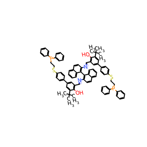 CC(C)(C)c1cc(-c2ccc(SCCP(c3ccccc3)c3ccccc3)cc2)cc(/C=N/c2ccc3ccccc3c2-c2c(/N=C/c3cc(-c4ccc(SCCP(c5ccccc5)c5ccccc5)cc4)cc(C(C)(C)C)c3O)ccc3ccccc23)c1O